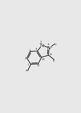 Cc1ccc2[te][n+](C)c(C)c2c1